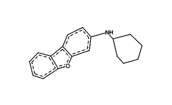 c1ccc2c(c1)oc1cc(NC3CCCCC3)ccc12